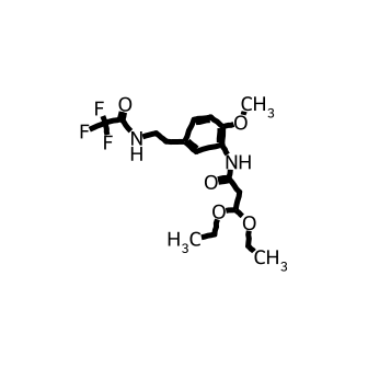 CCOC(CC(=O)Nc1cc(CCNC(=O)C(F)(F)F)ccc1OC)OCC